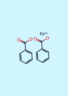 O=C([O-])c1ccccc1.O=C([O-])c1ccccc1.[Fe+2]